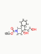 CC(C)(C)OC(=O)N1CCC(O)(C(CCO)c2ccccc2)CC1